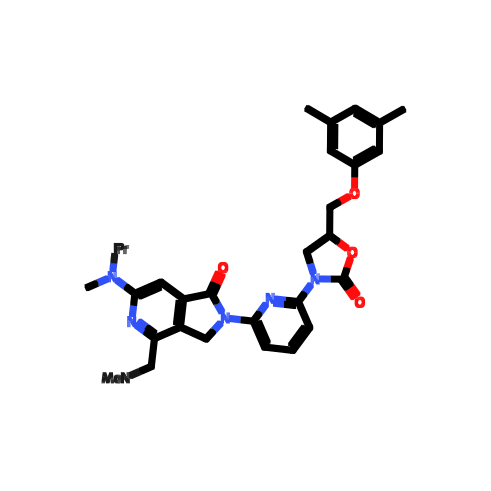 CNCc1nc(N(C)C(C)C)cc2c1CN(c1cccc(N3CC(COc4cc(C)cc(C)c4)OC3=O)n1)C2=O